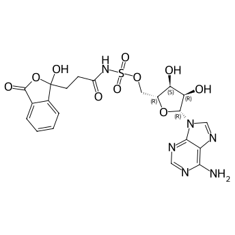 Nc1ncnc2c1ncn2[C@@H]1O[C@H](COS(=O)(=O)NC(=O)CCC2(O)OC(=O)c3ccccc32)[C@@H](O)[C@H]1O